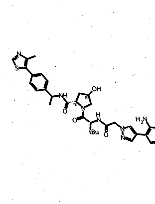 Cc1ncsc1-c1ccc(C(C)NC(=O)[C@@H]2C[C@@H](O)CN2C(=O)C(NC(=O)Cn2cc(-c3cc(Cl)nnc3N)cn2)C(C)(C)C)cc1